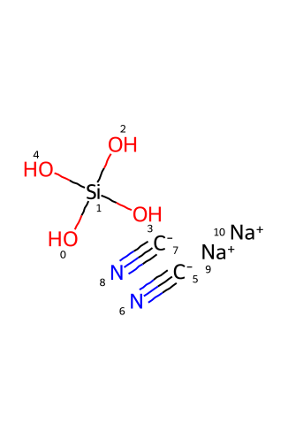 O[Si](O)(O)O.[C-]#N.[C-]#N.[Na+].[Na+]